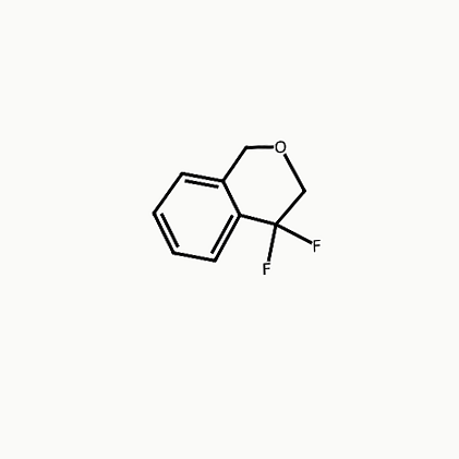 FC1(F)COCc2ccccc21